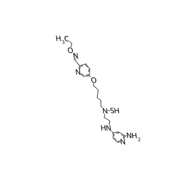 CCO/N=C/c1ccc(OCCCCCN(S)CCNc2ccnc(N)c2)cn1